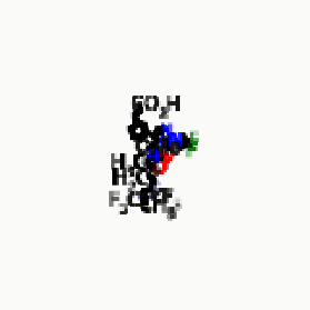 C=C(/C=C(\C=C(/C)C(F)(F)F)C(F)(F)F)[C@H]1OC(=O)N(Cc2nc(N3CC(F)(F)C3)ncc2-c2cc(CCC(=O)O)ccc2OC)[C@H]1C